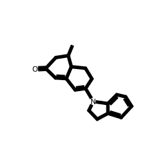 CC1CC(=O)C=C2C=C(N3CCc4ccccc43)CCC21